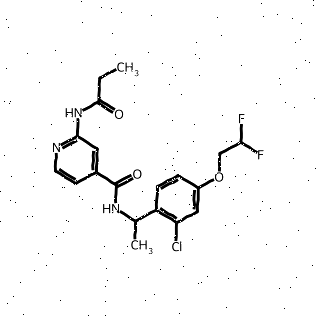 CCC(=O)Nc1cc(C(=O)NC(C)c2ccc(OCC(F)F)cc2Cl)ccn1